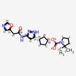 CC1(C)CCCN1C(=O)O[C@@H]1CC[C@H](c2cc(NC(=O)Cc3cnco3)n[nH]2)C1